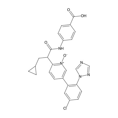 O=C(O)c1ccc(NC(=O)C(CC2CC2)c2ccc(-c3cc(Cl)ccc3-n3cncn3)c[n+]2[O-])cc1